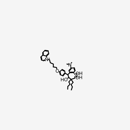 CCCCC1(CCCC)CS(O)(O)c2ccc(N(C)C)cc2C(c2ccc(OCCCCC[n+]3cccc4ccccc43)cc2)C1O